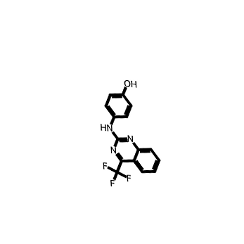 Oc1ccc(Nc2nc(C(F)(F)F)c3ccccc3n2)cc1